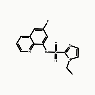 CCn1ccnc1S(=O)(=O)Nc1cc(F)cc2cccnc12